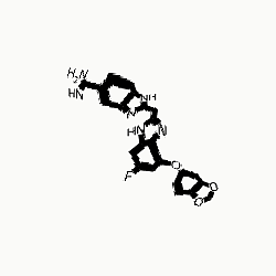 N=C(N)c1ccc2[nH]c(Cc3nc4c(Oc5ccc6c(c5)OCO6)cc(F)cc4[nH]3)nc2c1